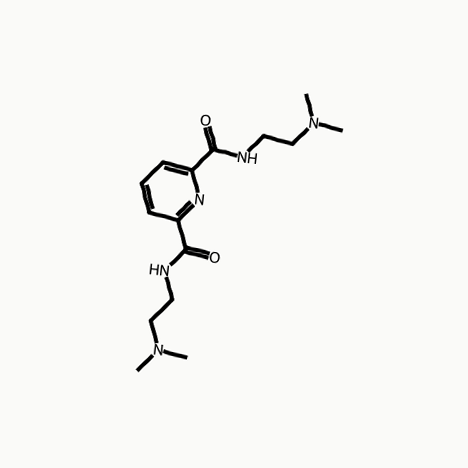 CN(C)CCNC(=O)c1cccc(C(=O)NCCN(C)C)n1